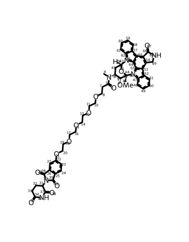 CO[C@@H]1[C@H](N(C)C(=O)CCOCCOCCOCCOCCOc2ccc3c(c2)C(=O)N(C2CCC(=O)NC2=O)C3=O)C[C@H]2O[C@]1(C)n1c3ccccc3c3c4c(c5c6ccccc6n2c5c31)C(=O)NC4